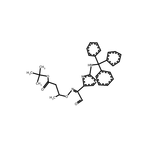 CC(CC(=O)OC(C)(C)C)ON=C([C]=O)c1csc(NC(c2ccccc2)(c2ccccc2)c2ccccc2)n1